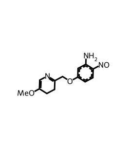 COC1=CN=C(COc2ccc(N=O)c(N)c2)CC1